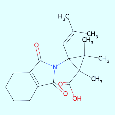 CC(C)=CC1(N2C(=O)C3=C(CCCC3)C2=O)C(C)(C)C1(C)C(=O)O